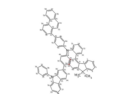 CC1(C)c2ccccc2-c2c(-c3ccccc3N(c3ccc(-c4ccc5c6ccccc6n(-c6ccccc6)c5c4)cc3)c3ccc(-c4cccc5c4ccc4ccccc45)cc3)cccc21